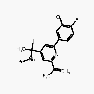 C=C(c1cc(C(C)(I)NC(C)C)cc(-c2ccc(F)c(Cl)c2)n1)C(F)(F)F